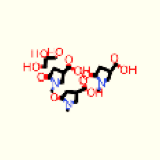 CN1CC(C(=O)O)CC1=O.CN1CC(C(=O)O)CC1=O.CN1CC(C(=O)O)CC1=O.OCC(O)CO